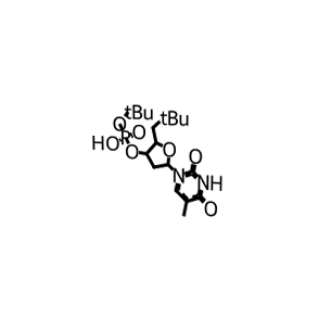 Cc1cn(C2CC(OP(=O)(O)OC(C)(C)C)C(CC(C)(C)C)O2)c(=O)[nH]c1=O